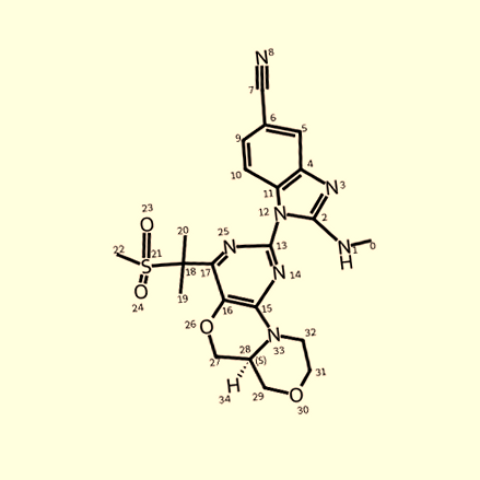 CNc1nc2cc(C#N)ccc2n1-c1nc2c(c(C(C)(C)S(C)(=O)=O)n1)OC[C@@H]1COCCN21